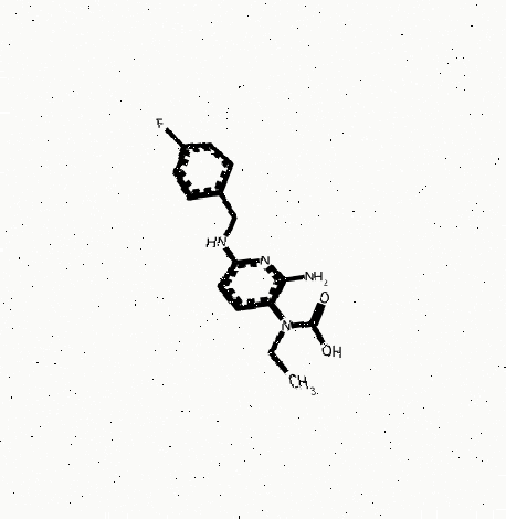 CCN(C(=O)O)c1ccc(NCc2ccc(F)cc2)nc1N